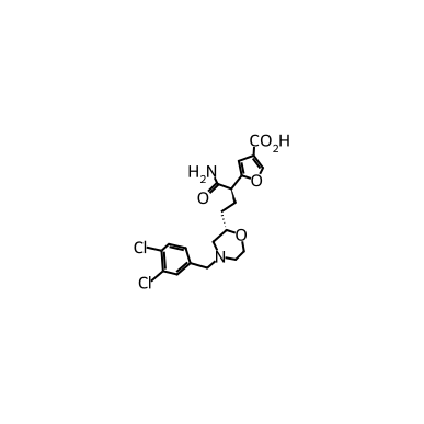 NC(=O)[C@H](CC[C@H]1CN(Cc2ccc(Cl)c(Cl)c2)CCO1)c1cc(C(=O)O)co1